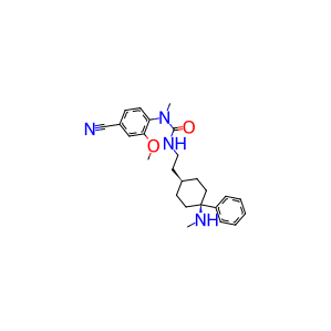 CN[C@]1(c2ccccc2)CC[C@H](CCNC(=O)N(C)c2ccc(C#N)cc2OC)CC1